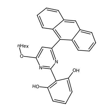 CCCCCCOc1cc(-c2c3ccccc3cc3ccccc23)nc(-c2c(O)cccc2O)n1